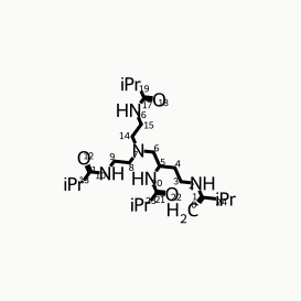 C=C(NCCC(CN(CCNC(=O)C(C)C)CCNC(=O)C(C)C)NC(=O)C(C)C)C(C)C